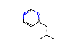 C[C](C)Cc1ccncn1